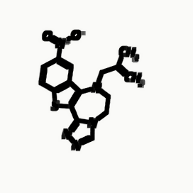 C=C(C)CN1CCn2cnnc2-c2sc3ccc([N+](=O)[O-])cc3c21